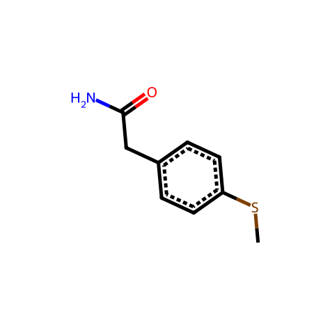 CSc1ccc(CC(N)=O)cc1